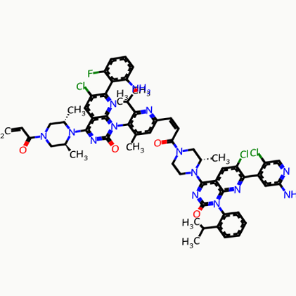 C=CC(=O)N1C[C@H](C)N(c2nc(=O)n(-c3c(C)cc(/C=C\C(=O)N4CCN(c5nc(=O)n(-c6ccccc6C(C)C)c6nc(-c7cc(N)ncc7Cl)c(Cl)cc56)[C@@H](C)C4)nc3C(C)C)c3nc(-c4c(N)cccc4F)c(Cl)cc23)[C@@H](C)C1